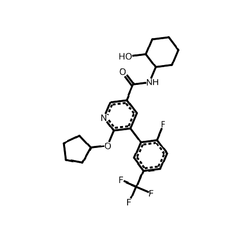 O=C(NC1CCCCC1O)c1cnc(OC2CCCC2)c(-c2cc(C(F)(F)F)ccc2F)c1